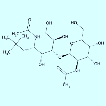 CC(=O)N[C@H]1[C@@H](O[C@H]([C@H](O)[C@H](CC(C)(C)C)NC(C)=O)[C@H](O)CO)O[C@H](CO)[C@H](O)[C@@H]1O